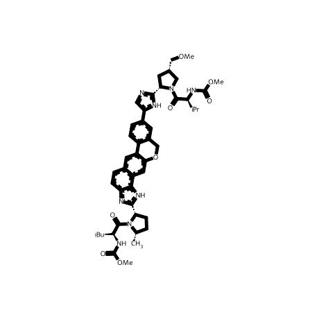 CC[C@H](C)[C@H](NC(=O)OC)C(=O)N1[C@@H](C)CC[C@H]1c1nc2ccc3cc4c(cc3c2[nH]1)OCc1cc(-c2cnc([C@@H]3C[C@H](COC)CN3C(=O)[C@@H](NC(=O)OC)C(C)C)[nH]2)ccc1-4